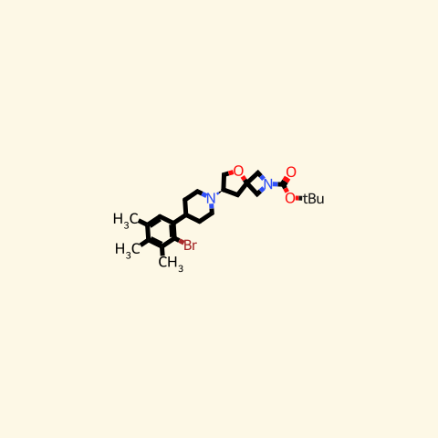 Cc1cc(C2CCN([C@@H]3COC4(C3)CN(C(=O)OC(C)(C)C)C4)CC2)c(Br)c(C)c1C